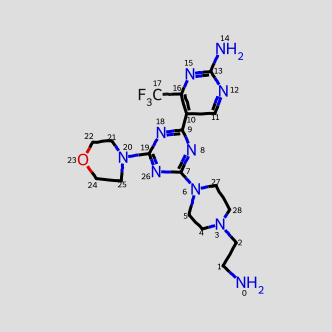 NCCN1CCN(c2nc(-c3cnc(N)nc3C(F)(F)F)nc(N3CCOCC3)n2)CC1